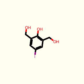 OCc1cc(I)cc(CO)c1O